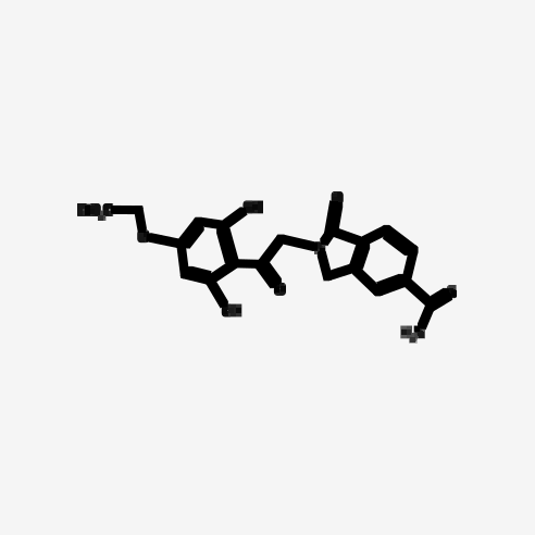 CCOC(=O)COc1cc(O)c(C(=O)CN2Cc3cc(C(N)=S)ccc3C2=O)c(O)c1